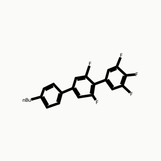 CCCCc1ccc(-c2cc(F)c(-c3cc(F)c(F)c(F)c3)c(F)c2)cc1